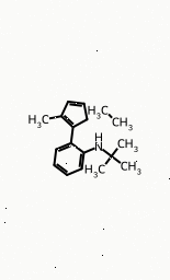 CC.CC1=C(c2ccccc2NC(C)(C)C)CC=C1